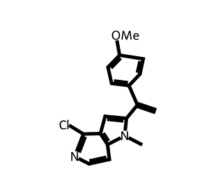 C=C(c1ccc(OC)cc1)c1cc2c(Cl)nccc2n1C